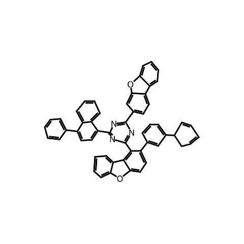 C1=CCC(c2cccc(-c3ccc4oc5ccccc5c4c3-c3nc(-c4ccc5c(c4)oc4ccccc45)nc(-c4ccc(-c5ccccc5)c5ccccc45)n3)c2)C=C1